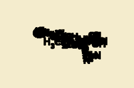 Cc1c(COc2cc(OCc3cncc(C#N)c3)c(CNC(C)(CO)C(=O)O)cc2Cl)cccc1-c1cccc(OCCCN2CCOCC2)c1C